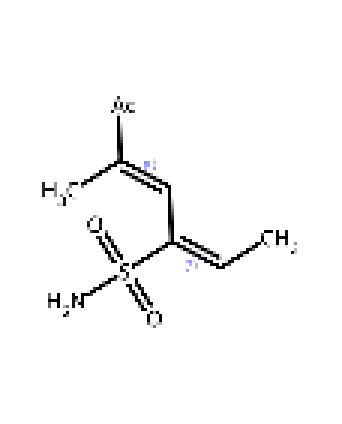 C/C=C(\C=C(/C)C(C)=O)S(N)(=O)=O